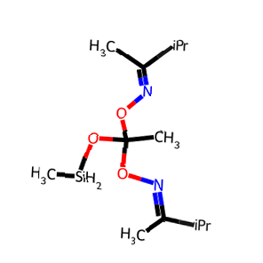 C[SiH2]OC(C)(ON=C(C)C(C)C)ON=C(C)C(C)C